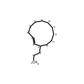 CCCC1/C=[C]/CCCCCCCCC1